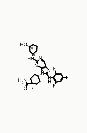 C[C@]1(C(N)=O)CC[C@H](n2c(Nc3c(F)cc(F)cc3F)nc3cnc(N[C@H]4CCC[C@@H](O)C4)nc32)CC1